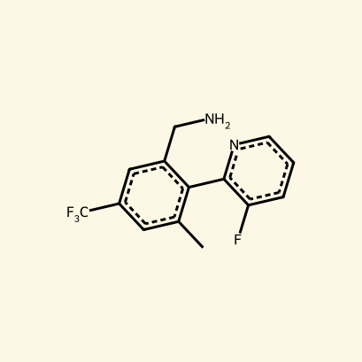 Cc1cc(C(F)(F)F)cc(CN)c1-c1ncccc1F